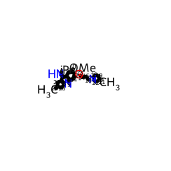 COc1cc2c(NC(C)C)c3c(nc2cc1OCCCN1CCC(C)C1)CC(C)C3